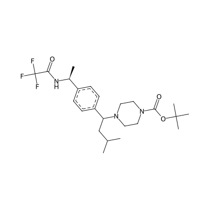 CC(C)CC(c1ccc([C@H](C)NC(=O)C(F)(F)F)cc1)N1CCN(C(=O)OC(C)(C)C)CC1